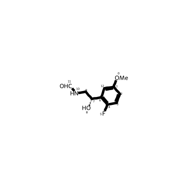 COc1ccc(F)c([C@H](O)CNC=O)c1